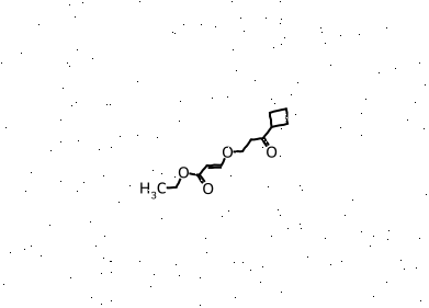 CCOC(=O)C=COCCC(=O)C1CCC1